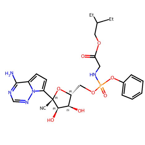 CCC(CC)COC(=O)CNP(=O)(OC[C@H]1O[C@@](C#N)(c2ccc3c(N)ncnn23)[C@H](O)[C@@H]1O)Oc1ccccc1